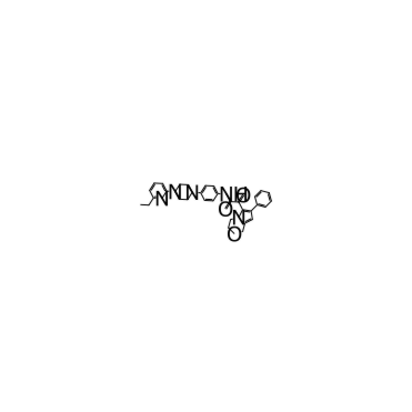 CCc1cccc(N2CCN(c3ccc(NC(=O)C(=O)c4c(-c5ccccc5)cc5n4CCOC5)cc3)CC2)n1